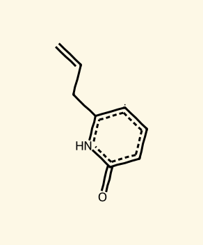 C=CCc1[c]ccc(=O)[nH]1